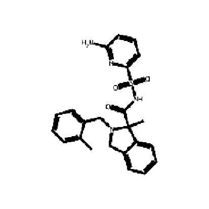 Cc1ccccc1CN1Cc2ccccc2C1(C)C(=O)NS(=O)(=O)c1cccc(N)n1